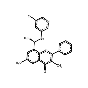 Cc1cc([C@@H](C)Nc2cncc(Cl)c2)c2oc(-c3ccccc3)c(C)c(=O)c2c1